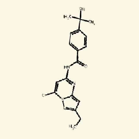 CCc1cc2nc(NC(=O)c3ccc(C(C)(C)O)cc3)cc(Cl)n2n1